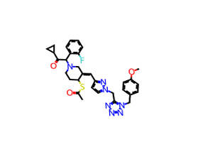 COc1ccc(Cn2nnnc2Cn2ccc(/C=C3/CN(C(C(=O)C4CC4)c4ccccc4F)CCC3SC(C)=O)n2)cc1